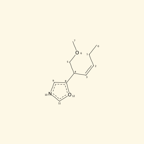 CC/C=C\C(COC)c1cnco1